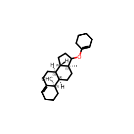 C[C@]12CC[C@@H]3[C@@H](CCC4=CCCC[C@@]43C=O)[C@@H]1CCC2OC1=CCCCC1